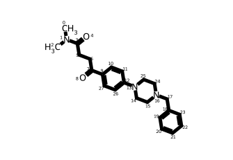 CN(C)C(=O)CCC(=O)c1ccc(N2CCN(Cc3ccccc3)CC2)cc1